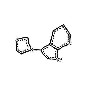 c1cnc2[nH]cc(-n3ccnc3)c2c1